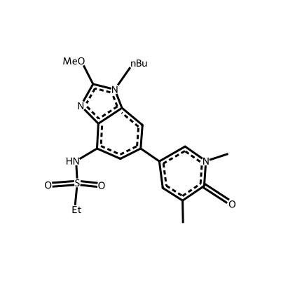 CCCCn1c(OC)nc2c(NS(=O)(=O)CC)cc(-c3cc(C)c(=O)n(C)c3)cc21